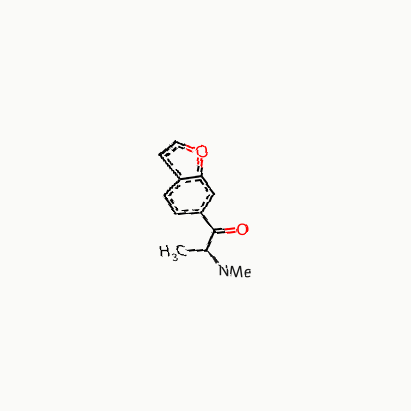 CN[C@@H](C)C(=O)c1ccc2ccoc2c1